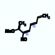 C=C/C=C/C=C(/N=O)C(=C)OC